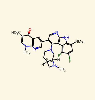 CNc1cc(F)c(F)c2c1[nH]c1ncc(-c3cnc4c(c3)c(=O)c(C(=O)O)cn4C)c(N3CC[C@H]4CN(C)[C@H]4C3)c12